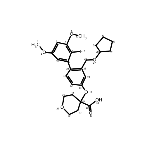 COc1cc(OC)c(F)c(-c2ccc(OC3(C(=O)O)CCOCC3)cc2COC2CCCC2)c1